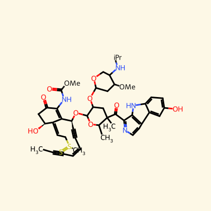 CC#C/C=C\C#C[C@H](OC1OC(C)C(C)(C(=O)c2nccc3c2[nH]c2ccc(O)cc23)CC1OC1CC(OC)C(NC(C)C)CO1)C1=C(NC(=O)OC)C(=O)C[C@H](O)/C1=C/CS(C)=S